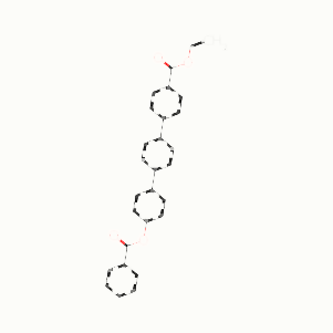 C=COC(=O)c1ccc(-c2ccc(-c3ccc(OC(=O)c4ccccc4)cc3)cc2)cc1